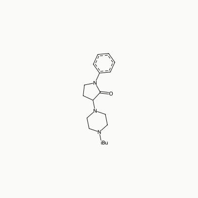 CCC(C)N1CCN(C2CCN(c3ccccc3)C2=O)CC1